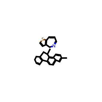 C1=Cc2sccc2CN=C1.Cc1ccc2c3c(ccc2c1)C1=C(CCC=C1)CC3C